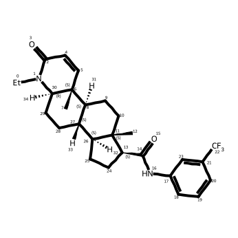 CCN1C(=O)C=C[C@]2(C)[C@H]3CC[C@]4(C)[C@@H](C(=O)Nc5cccc(C(F)(F)F)c5)CC[C@H]4[C@@H]3CC[C@@H]12